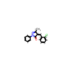 CC1=NN(c2ccccc2)C(=O)C1=Cc1ccccc1Cl